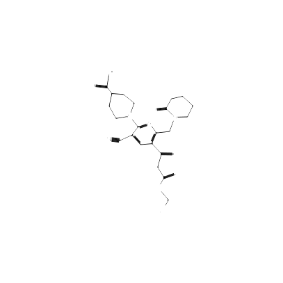 CCOC(=O)CC(=O)c1cc(C#N)c(N2CCC(C(=O)O)CC2)nc1CN1CCCCC1=O